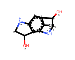 Cc1c2cc3c(c1NCC2O)C(O)CN3